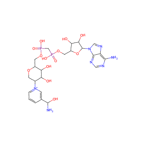 Nc1ncnc2c1ncn2C1OC(COP(=O)(O)CP(=O)(O)OCC2OCC([n+]3cccc(C(N)O)c3)C(O)C2O)C(O)C1O